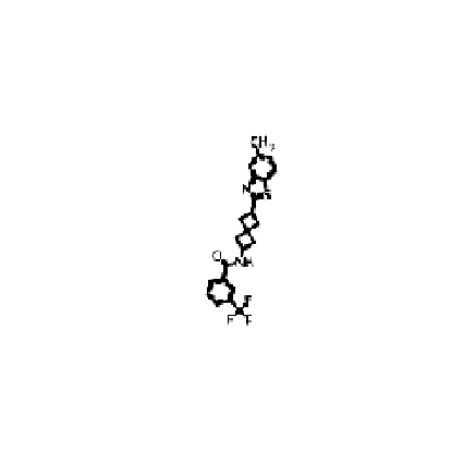 Cc1ccc2sc(C3CC4(CC(NC(=O)c5cccc(C(F)(F)F)c5)C4)C3)nc2c1